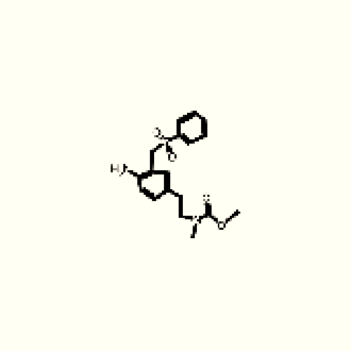 COC(=O)N(C)CCc1ccc(N)c(CS(=O)(=O)c2ccccc2)c1